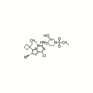 CCC1(c2c(C#N)cc3c(Cl)nc(N[C@@H]4CCN(S(C)(=O)=O)C[C@@H]4O)nn23)CCC1